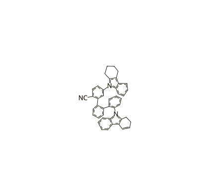 N#Cc1ccc(-n2c3c(c4ccccc42)CCCC3)cc1-c1ccccc1-c1ccccc1-n1c2c(c3ccccc31)C=CCC2